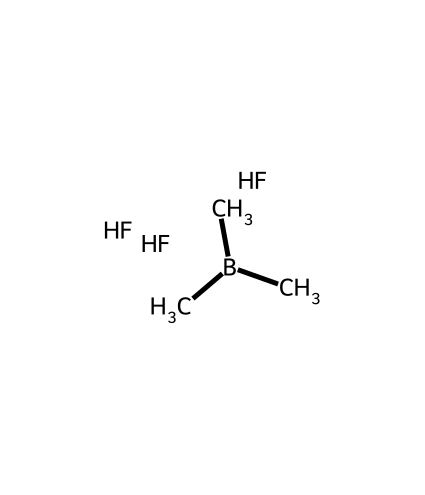 CB(C)C.F.F.F